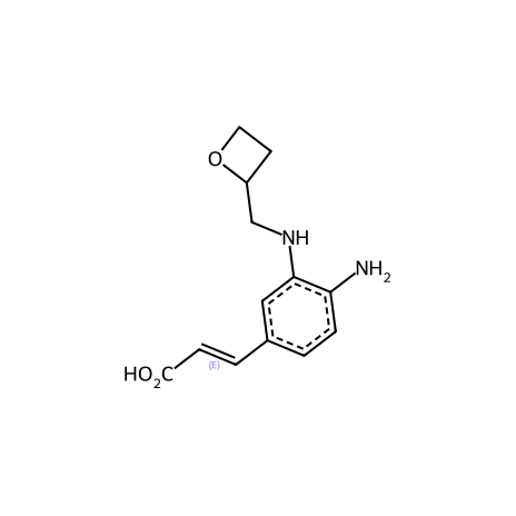 Nc1ccc(/C=C/C(=O)O)cc1NCC1CCO1